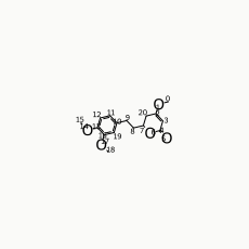 COC1=CC(=O)OC(CCc2ccc(OC)c(OC)c2)C1